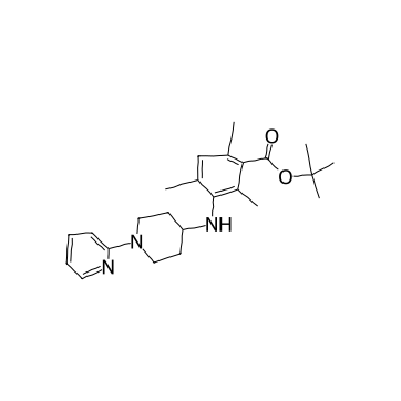 Cc1cc(C)c(C(=O)OC(C)(C)C)c(C)c1NC1CCN(c2ccccn2)CC1